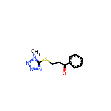 Cn1nnnc1SCCC(=O)c1ccccc1